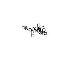 C=CCn1c(=O)c2cnc(Nc3ccc(N4CCN(C)CC4)cc3)nc2n1-c1cccc(-n2cccc(C)c2=O)n1